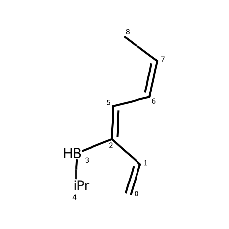 C=C/C(BC(C)C)=C\C=C/C